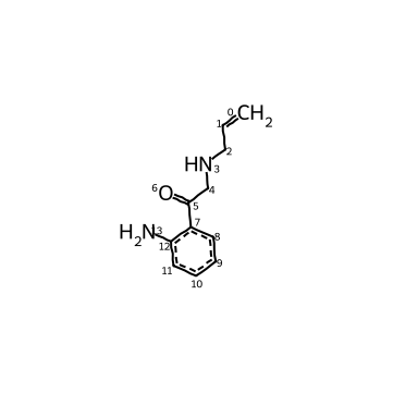 C=CCNCC(=O)c1ccccc1N